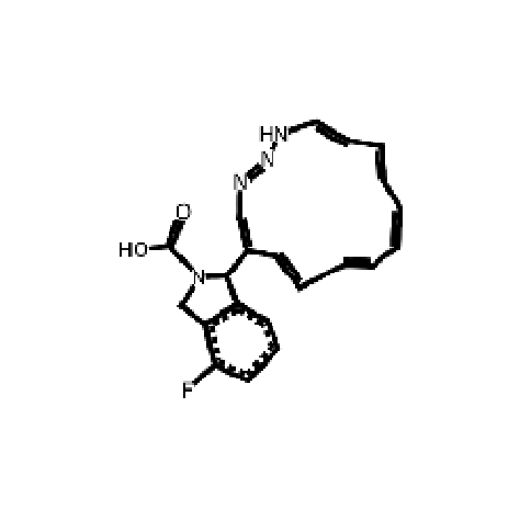 O=C(O)N1Cc2c(F)cccc2C1C1=C/N=N/N/C=C/C=C/C=C\C=C\C=C\1